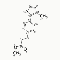 COC(=O)CCc1ccc(-c2sccc2C)cc1